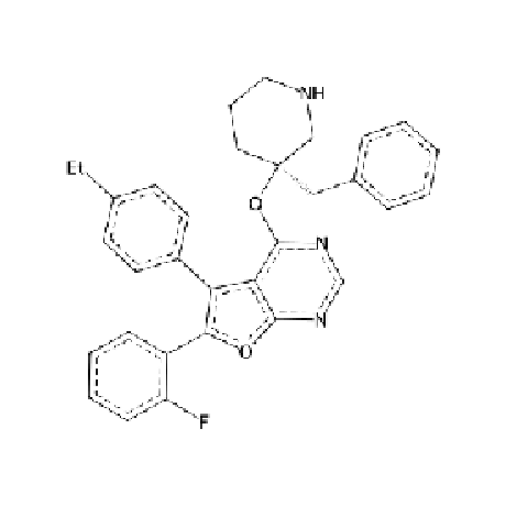 CCc1ccc(-c2c(-c3ccccc3F)oc3ncnc(O[C@@]4(Cc5ccccc5)CCCNC4)c23)cc1